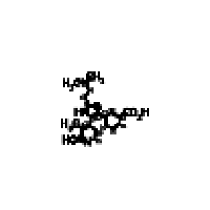 Cc1c(-c2[nH]c(CCN(C)C)nc2-c2cccc(C(=O)O)c2)ccnc1O